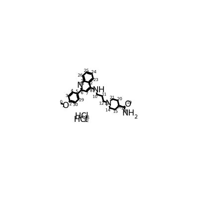 COc1ccc(-c2cc(NCCCN3CCC(C(N)=O)CC3)c3ccccc3n2)cc1.Cl.Cl